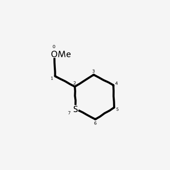 COCC1CCCCS1